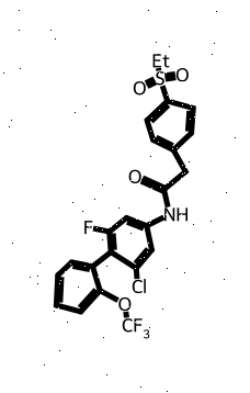 CCS(=O)(=O)c1ccc(CC(=O)Nc2cc(F)c(-c3ccccc3OC(F)(F)F)c(Cl)c2)cc1